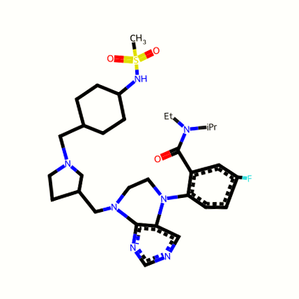 CCN(C(=O)c1cc(F)ccc1N1CCN(CC2CCN(CC3CCC(NS(C)(=O)=O)CC3)C2)c2ncncc21)C(C)C